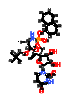 C=C[C@]1(COP(=O)(N[C@@H](C)C(=O)OCC(C)(C)C)Oc2cccc3ccccc23)O[C@@H](n2ccc(=O)[nH]c2=O)[C@H](O)[C@@H]1O